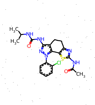 CC(=O)Nc1nc2c(s1)-c1c(c(NC(=O)NC(C)C)nn1-c1ccccc1Cl)CC2